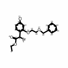 CCOC(=O)C(Br)c1ccc(Cl)cc1OCCOCc1ccccc1